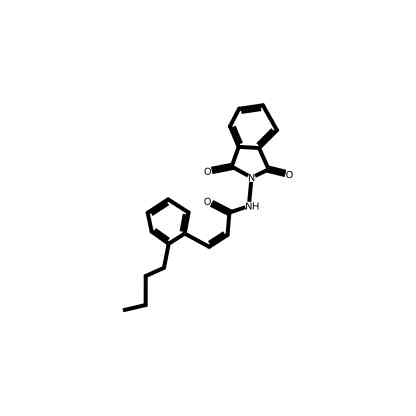 CCCCc1ccccc1/C=C\C(=O)NN1C(=O)c2ccccc2C1=O